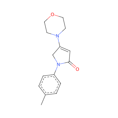 Cc1ccc(N2CC(N3CCOCC3)=CC2=O)cc1